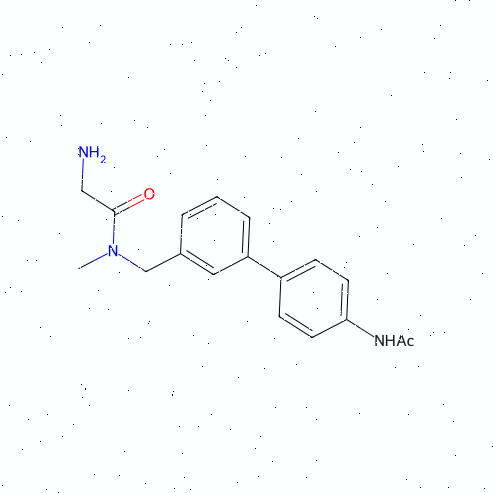 CC(=O)Nc1ccc(-c2cccc(CN(C)C(=O)CN)c2)cc1